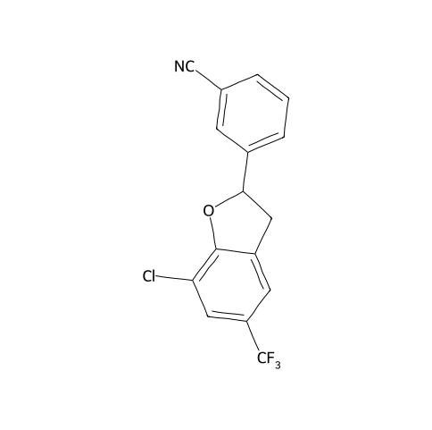 N#Cc1cccc(C2Cc3cc(C(F)(F)F)cc(Cl)c3O2)c1